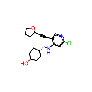 O[C@H]1CC[C@H](CNc2cc(Cl)ncc2C#CC2CCCO2)CC1